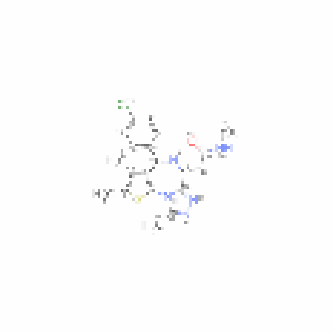 Cc1sc2c(c1C)C(c1ccc(Cl)cc1)=N[C@H](CC(=O)NC(C)(C)C)c1nnc(C)n1-2